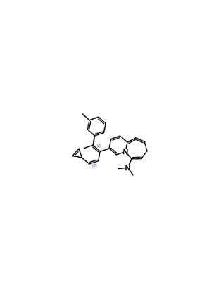 C/C(=C(\C=C/C1C=C1)C1=CN2C(=C=CCC=C2N(C)C)C=C1)c1cccc(C)c1